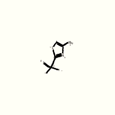 CC(C)(C)c1csc(C(C)(I)I)n1